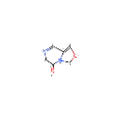 O=C1CN=CC2=COCN12